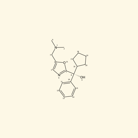 CN(C)Cc1cnc([C@](O)(c2ccccc2)C2CCCC2)o1